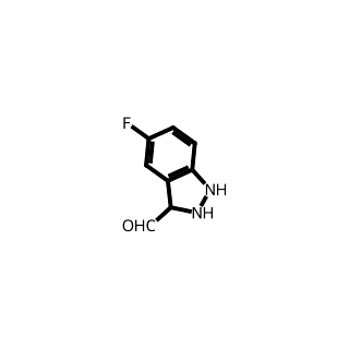 O=CC1NNc2ccc(F)cc21